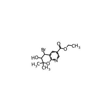 CCOC(=O)c1cnc2c(c1)C(Br)C(O)C(C)(C)O2